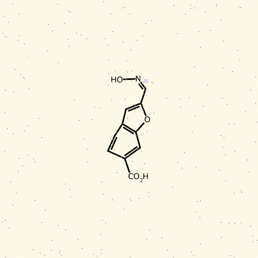 O=C(O)c1ccc2cc(/C=N\O)oc2c1